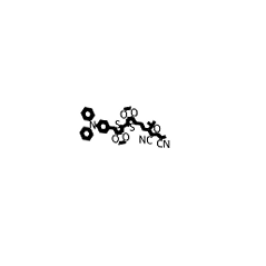 C/C(C#N)=C1\OC(C)(C)C(/C=C/c2sc(-c3sc(-c4ccc(N(c5ccccc5)c5ccccc5)cc4)c4c3OCCO4)c3c2OCCO3)=C1C#N